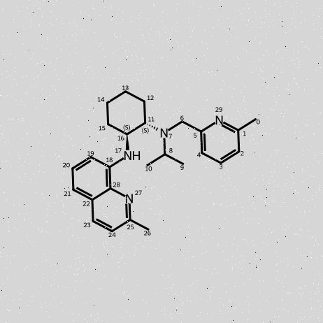 Cc1cccc(CN(C(C)C)[C@H]2CCCC[C@@H]2Nc2cccc3ccc(C)nc23)n1